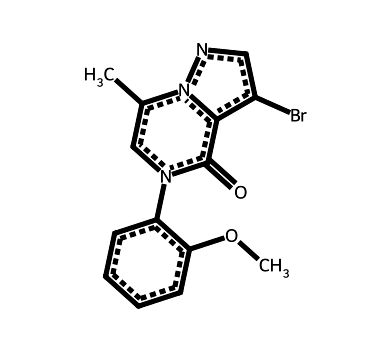 COc1ccccc1-n1cc(C)n2ncc(Br)c2c1=O